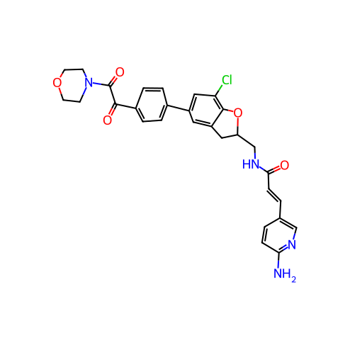 Nc1ccc(C=CC(=O)NCC2Cc3cc(-c4ccc(C(=O)C(=O)N5CCOCC5)cc4)cc(Cl)c3O2)cn1